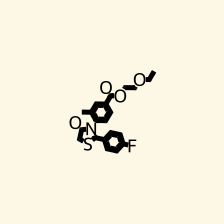 CCOCCOC(=O)c1ccc(N2C(=O)CSC2c2ccc(F)cc2)c(C)c1